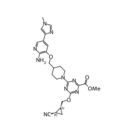 COC(=O)c1nc(OC[C@H]2C[C@H]2C#N)nc(N2CCC(COc3cc(-c4cn(C)cn4)cnc3N)CC2)n1